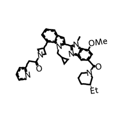 CC[C@@H]1CCCN(C(=O)c2cc(OC)c3c(c2)nc(-c2cc4cccc(C5CN(C(=O)Cc6ccccn6)C5)c4n2CC2CC2)n3C)C1